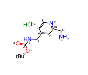 CC(C)(C)OC(=O)NCc1ccnc(CN)c1.Cl